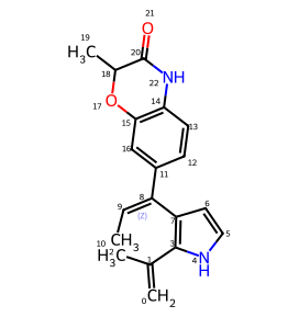 C=C(C)c1[nH]ccc1/C(=C\C)c1ccc2c(c1)OC(C)C(=O)N2